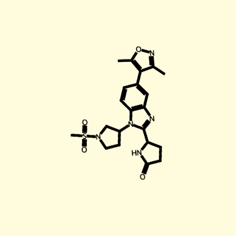 Cc1noc(C)c1-c1ccc2c(c1)nc(C1CCC(=O)N1)n2C1CCN(S(C)(=O)=O)C1